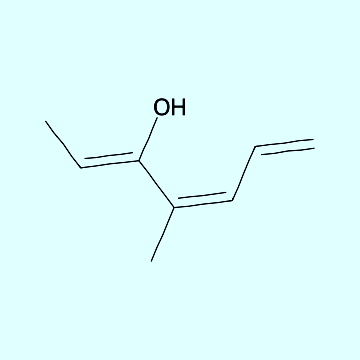 C=C/C=C(C)\C(O)=C\C